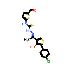 C/C(=N\NC(=S)Nc1ccc(C=O)s1)c1csc(-c2ccc(Cl)cc2)c1O